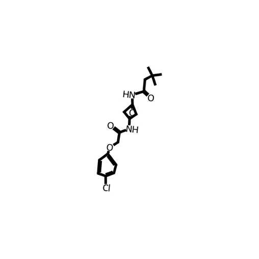 CC(C)(C)CC(=O)NC12CC(NC(=O)COc3ccc(Cl)cc3)(C1)C2